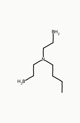 BCCN(CCB)CCCC